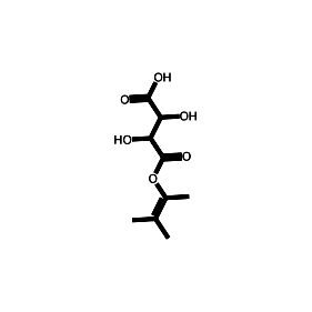 CC(C)=C(C)OC(=O)C(O)C(O)C(=O)O